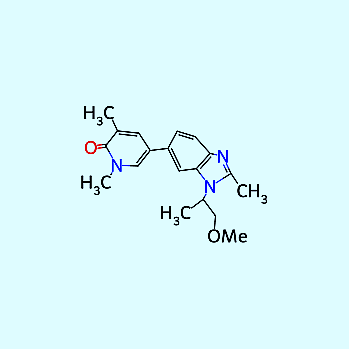 COCC(C)n1c(C)nc2ccc(-c3cc(C)c(=O)n(C)c3)cc21